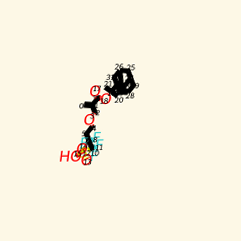 C=C(COCCC(F)(F)C(F)(F)S(=O)(=O)O)C(=O)OC(C)(C)C12CC3CC(CC(C3)C1)C2